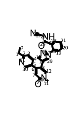 CCc1ccc(-c2cc(=O)n(C)cc2-c2cnn(-c3ccccc3C(=O)NC#N)c2)cn1